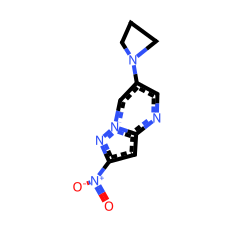 O=[N+]([O-])c1cc2ncc(N3CCC3)cn2n1